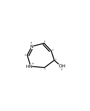 OC1C=CN=CNC1